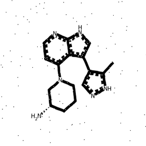 Cc1[nH]ncc1-c1c[nH]c2nccc(N3CCC[C@H](N)C3)c12